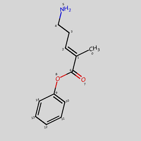 CC(=CCCN)C(=O)Oc1ccccc1